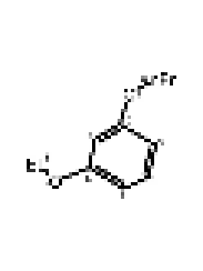 CCCOc1cccc(OCC)c1